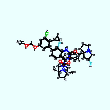 COCOc1cc(Cl)c(C2CC2)c(-c2ccc3c(N4C[C@H]5CC[C@@H](C4)N5C(=O)OC(C)(C)C)nc(OC[C@@]45CCCN4C[C@H](F)C5)nc3c2F)c1